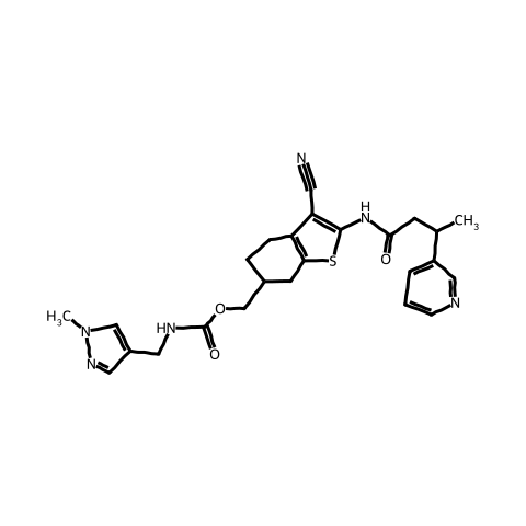 CC(CC(=O)Nc1sc2c(c1C#N)CCC(COC(=O)NCc1cnn(C)c1)C2)c1cccnc1